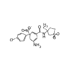 CC1(NC(=O)C2=CC(c3ccc(Cl)cc3)([N+](=O)[O-])CC(N)=C2)CCS(=O)(=O)C1